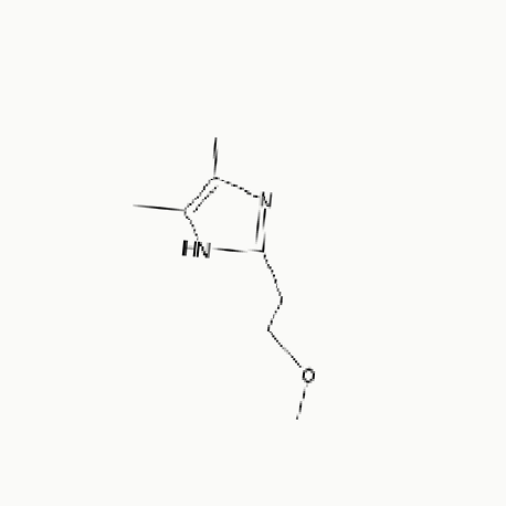 COCCc1nc(C)c(C)[nH]1